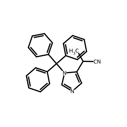 CC(C#N)c1cncn1C(c1ccccc1)(c1ccccc1)c1ccccc1